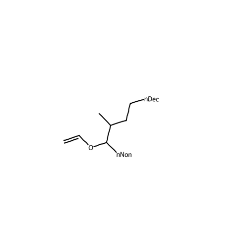 C=COC(CCCCCCCCC)C(C)CCCCCCCCCCCC